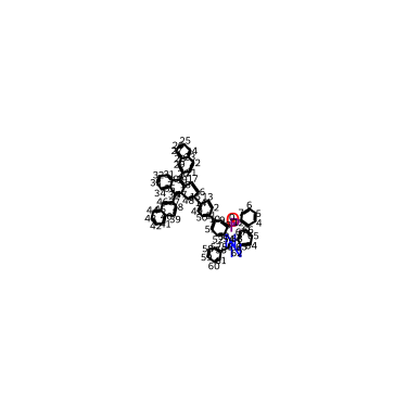 O=P1(c2ccccc2)c2cc(-c3ccc(-c4ccc5c(-c6ccc7ccccc7c6)c6ccccc6c(-c6ccc7ccccc7c6)c5c4)cc3)ccc2-n2c(-c3ccccc3)nc3cccc1c32